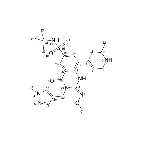 CON=c1[nH]c2c(C3=CCNC(C)C3)cc(S(=O)(=O)NC3(C)CC3)cc2c(=O)n1Cc1cnn(C)c1